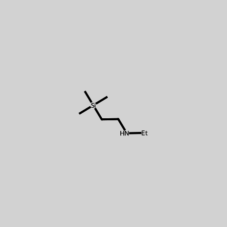 CCNCC[Si](C)(C)C